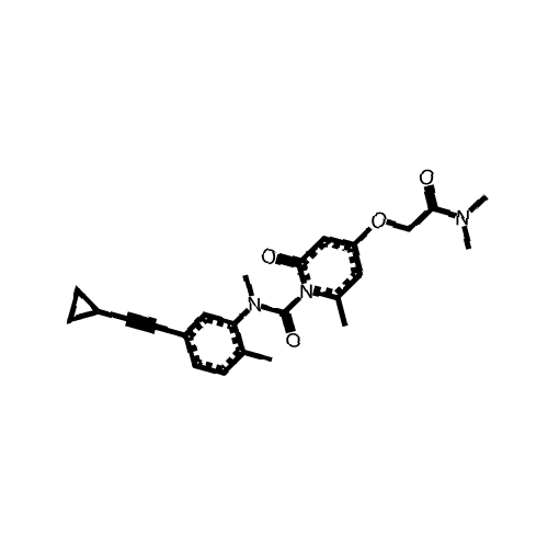 Cc1ccc(C#CC2CC2)cc1N(C)C(=O)n1c(C)cc(OCC(=O)N(C)C)cc1=O